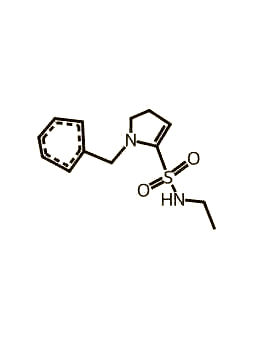 CCNS(=O)(=O)C1=CCCN1Cc1ccccc1